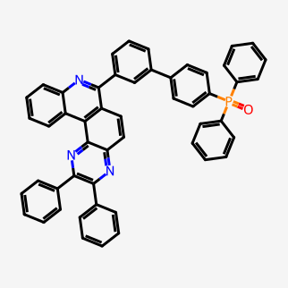 O=P(c1ccccc1)(c1ccccc1)c1ccc(-c2cccc(-c3nc4ccccc4c4c3ccc3nc(-c5ccccc5)c(-c5ccccc5)nc34)c2)cc1